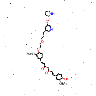 COc1cc(/C=C/C(=O)CC(=O)/C=C/c2ccc(OCCOCCCc3cncc(OC[C@@H]4CCCN4)c3)c(OC)c2)ccc1O